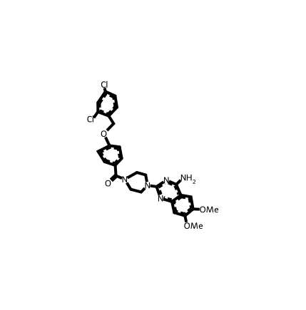 COc1cc2nc(N3CCN(C(=O)c4ccc(OCc5ccc(Cl)cc5Cl)cc4)CC3)nc(N)c2cc1OC